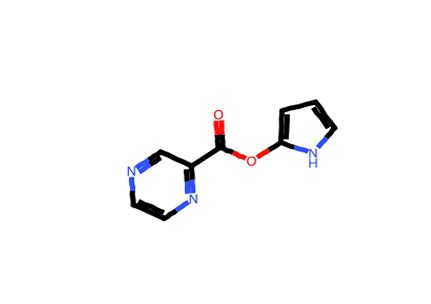 O=C(Oc1ccc[nH]1)c1cnccn1